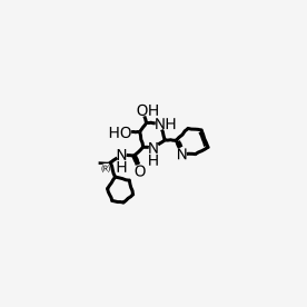 C[C@@H](NC(=O)C1NC(C2=NCC=CC2)NC(O)C1O)C1CCCCC1